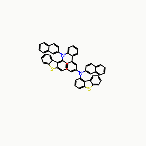 c1cc(-c2ccccc2N(c2ccc3ccccc3c2)c2cccc3sc4ccccc4c23)cc(N(c2ccc3ccccc3c2)c2cccc3sc4ccccc4c23)c1